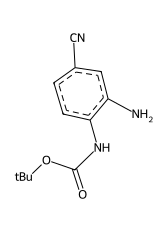 CC(C)(C)OC(=O)Nc1ccc(C#N)cc1N